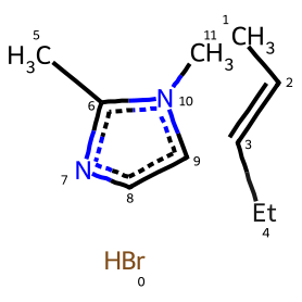 Br.CC=CCC.Cc1nccn1C